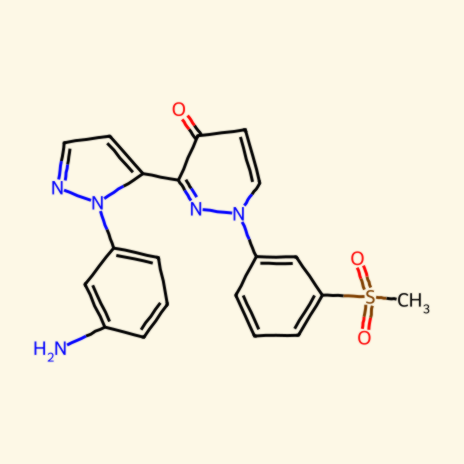 CS(=O)(=O)c1cccc(-n2ccc(=O)c(-c3ccnn3-c3cccc(N)c3)n2)c1